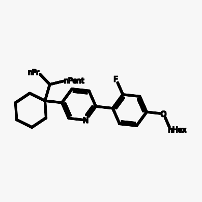 CCCCCCOc1ccc(-c2ccc(C3(C(CCC)CCCCC)CCCCC3)cn2)c(F)c1